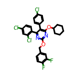 Fc1ccc(COc2nc(OC3CCCCC3)c(-c3ccc(Cl)cc3)c(-c3ccc(Cl)cc3Cl)n2)cc1F